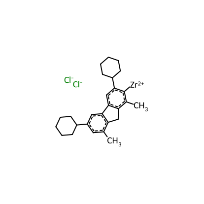 Cc1cc(C2CCCCC2)cc2c1Cc1c-2cc(C2CCCCC2)[c]([Zr+2])c1C.[Cl-].[Cl-]